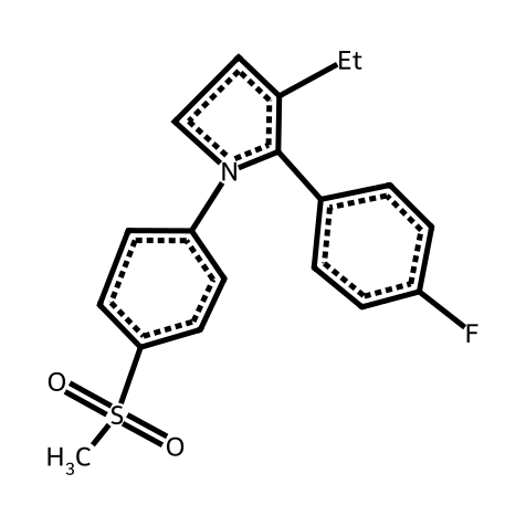 CCc1ccn(-c2ccc(S(C)(=O)=O)cc2)c1-c1ccc(F)cc1